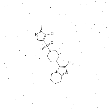 Cn1ncc(S(=O)(=O)N2CCC(c3c(C(F)(F)F)nc4n3CCCC4)CC2)c1Cl